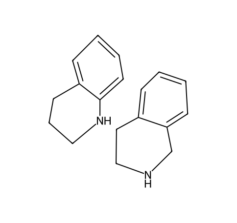 c1ccc2c(c1)CCCN2.c1ccc2c(c1)CCNC2